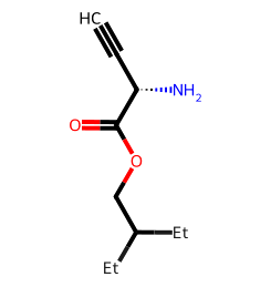 C#C[C@H](N)C(=O)OCC(CC)CC